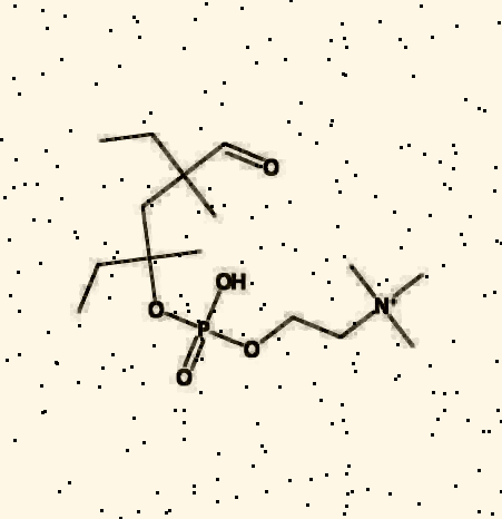 CCC(C)(C=O)CC(C)(CC)OP(=O)(O)OCC[N+](C)(C)C